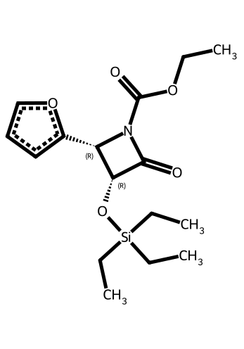 CCOC(=O)N1C(=O)[C@H](O[Si](CC)(CC)CC)[C@@H]1c1ccco1